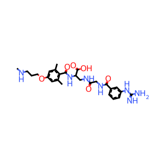 CNCCCOc1cc(C)c(C(=O)NC(CNC(=O)CNC(=O)c2cccc(NC(=N)N)c2)C(=O)O)c(C)c1